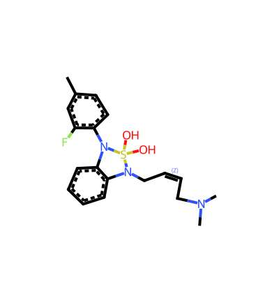 Cc1ccc(N2c3ccccc3N(C/C=C\CN(C)C)S2(O)O)c(F)c1